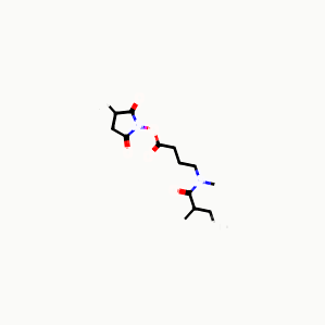 BC1CC(=O)N(OC(=O)CCCN(C)C(=O)C(C)CC=O)C1=O